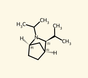 CC(C)[C@H]1[C@H]2CC[C@H](C2)N1C(C)C